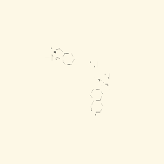 C[C@H](CNCCc1ccc2[nH]ncc2c1)NS(=O)(=O)c1ccc2cnccc2c1